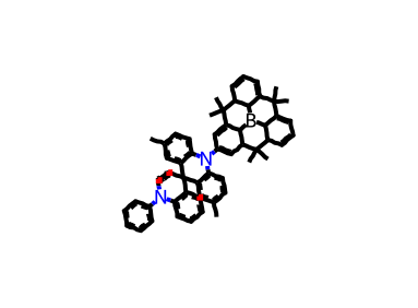 Cc1ccc2c(c1)C1(c3cc(C)ccc3N2C2=CC3C4B5C6C(=CC=CC6C(C)(C)C4=C2)C(C)(C)C2=CC=CC(C52)C3(C)C)c2ccccc2N(c2ccccc2)c2ccccc21